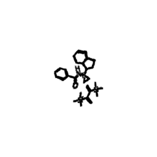 C=C(C(=C)[Si](C)(C)C)[Si](C)(C)C.O=C([NH][Ti]1([CH]2CCC3C=CC=CC32)[CH2][CH2]1)c1ccccc1